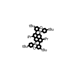 CC(C)c1cc2c3c(cc4c(C(C)C)cc5c6c(cc1c3c46)B1c3ccc(C(C)(C)C)cc3Oc3cc(C(C)(C)C)cc-5c31)B1c3ccc(C(C)(C)C)cc3Oc3cc(C(C)(C)C)cc-2c31